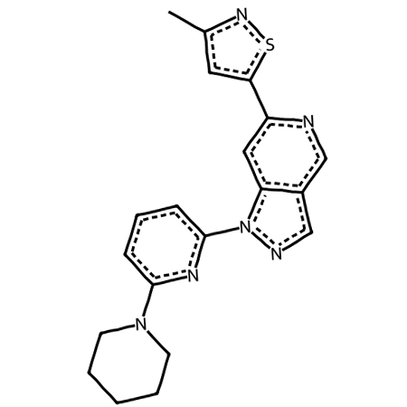 Cc1cc(-c2cc3c(cn2)cnn3-c2cccc(N3CCCCC3)n2)sn1